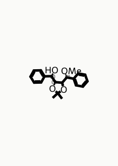 CO[C@H](c1ccccc1)C1OC(C)(C)O[C@H]1[C@H](O)c1ccccc1